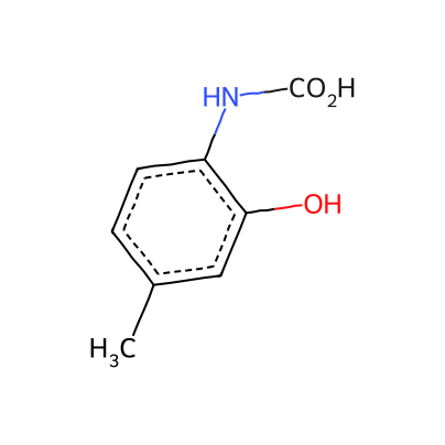 Cc1ccc(NC(=O)O)c(O)c1